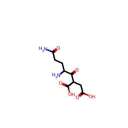 NC(=O)CCC(N)C(=O)C(CC(=O)O)C(=O)O